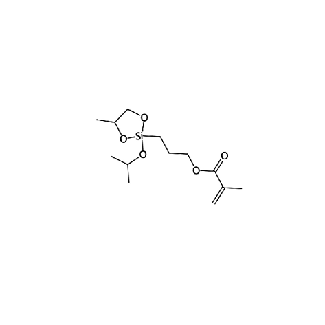 C=C(C)C(=O)OCCC[Si]1(OC(C)C)OCC(C)O1